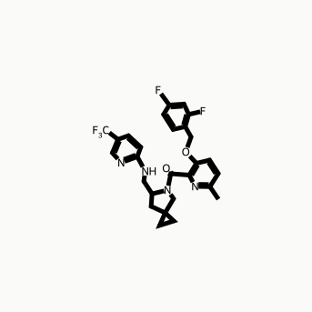 Cc1ccc(OCc2ccc(F)cc2F)c(C(=O)N2CC3(CC3)CC2CNc2ccc(C(F)(F)F)cn2)n1